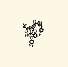 CC1(C)C[C@@H]1C(=O)N1CC2(CN(C(=O)c3cnn(Cc4ccc(F)cc4)c3)CC2COc2cccc(OC3CCC(F)(F)CC3)c2C(=O)O)C1